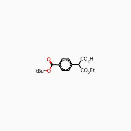 CCOC(=O)C(C(=O)O)c1ccc(C(=O)OC(C)(C)C)cc1